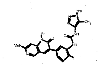 CNc1cc2c(cn1)cc(-c1ccc(F)c(NC(=O)Nc3cnn(C(C)(C)C)c3C)c1)c(=O)n2C(C)C